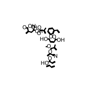 C=C(C)C(=O)O.C=C(C)C(=O)OC.C=C(CC(=O)O)C(=O)O.C=CC#N.C=CC(=O)O.C=CC=C.C=Cc1ccccc1.O=C(O)/C=C\C(=O)O